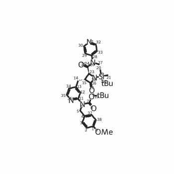 COc1ccc(CN(C(=O)OC(C)(C)C)c2cc(C[C@H]3C(=O)N([Si](C)(C)C(C)(C)C)[C@@H]3C(=O)N(C)c3ccncc3)ccn2)cc1